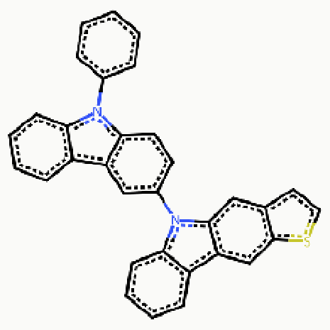 c1ccc(-n2c3ccccc3c3cc(-n4c5ccccc5c5cc6sccc6cc54)ccc32)cc1